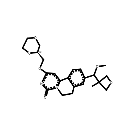 COC(c1ccc2c(c1)CCn1c-2cc(OC[C@@H]2COCCO2)nc1=O)C1(C)COC1